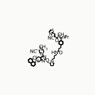 CCCC(c1ccc(CCC(=O)NCCCCN2CCC[C@H]2COc2nc3c(c(N4CCN(C)[C@@H](CC#N)C4)n2)CCN(c2cccc4cccc(Cl)c24)C3)cc1)N(C)C(=O)/C(C#N)=C/c1nccs1